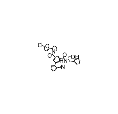 N#Cc1ccccc1-c1cc(C(=O)N[C@H](CO)Cc2ccccc2)cc(C(=O)N2CCCC2c2ccc(Cl)o2)c1